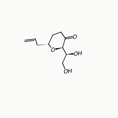 C=CC[C@@H]1CCC(=O)[C@@H]([C@@H](O)CO)O1